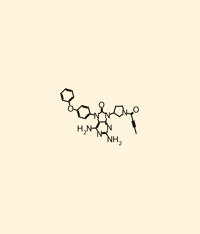 CC#CC(=O)N1CCC(n2c(=O)n(-c3ccc(Oc4ccccc4)cc3)c3c(N)nc(N)nc32)C1